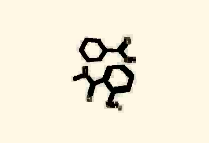 CNC(=O)c1ccccc1N.O=C(O)C1CCCCC1